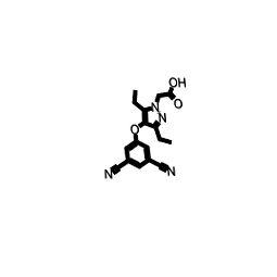 CCc1nn(CC(=O)O)c(CC)c1Oc1cc(C#N)cc(C#N)c1